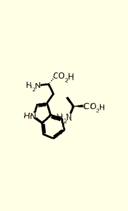 C[C@H](N)C(=O)O.N[C@@H](Cc1c[nH]c2ccccc12)C(=O)O